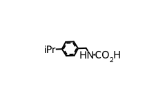 CC(C)c1ccc(CNC(=O)O)cc1